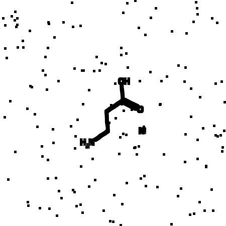 NCCC(=O)O.[N]